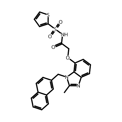 Cc1nc2cccc(OCC(=O)NS(=O)(=O)c3cccs3)c2n1Cc1ccc2ccccc2c1